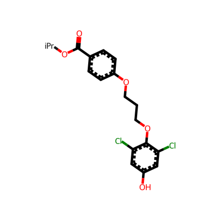 CC(C)OC(=O)c1ccc(OCCCOc2c(Cl)cc(O)cc2Cl)cc1